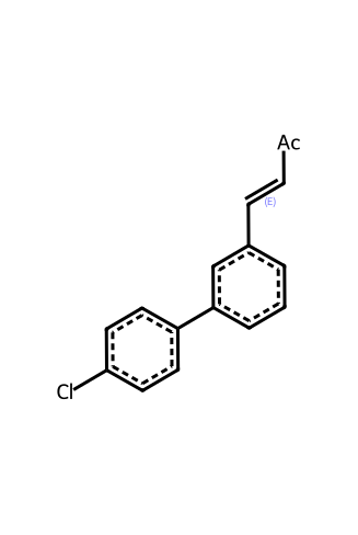 CC(=O)/C=C/c1cccc(-c2ccc(Cl)cc2)c1